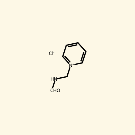 O=CNC[n+]1ccccc1.[Cl-]